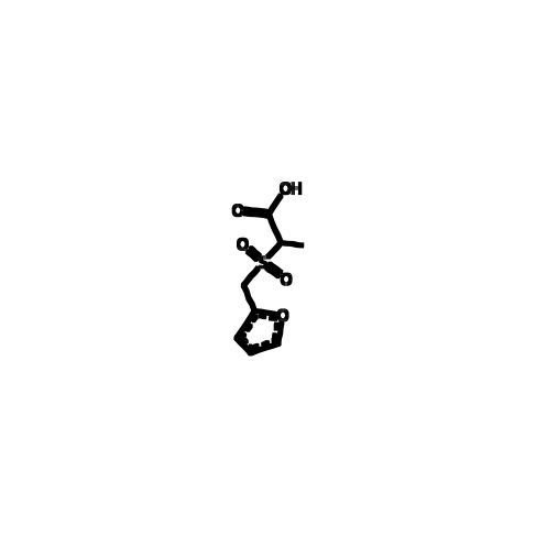 CC(C(=O)O)S(=O)(=O)Cc1ccco1